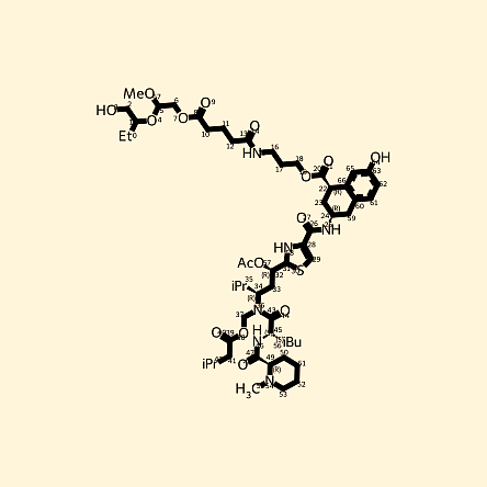 CCC(CO)OC(COC(=O)CCCC(=O)NCCCOC(=O)[C@@H]1C[C@@H](NC(=O)C2=CSC([C@@H](C[C@H](C(C)C)N(COC(=O)CC(C)C)C(=O)[C@@H](NC(=O)[C@H]3CCCCN3C)[C@@H](C)CC)OC(C)=O)N2)Cc2ccc(O)cc21)OC